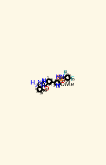 COc1ncc(-c2ccc3nc(N)n(-c4c(C)cccc4C)c(=O)c3c2)cc1S(=O)(=O)Nc1ccc(F)cc1F